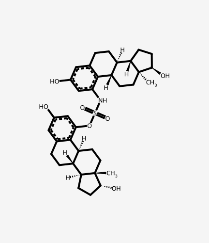 C[C@]12CC[C@@H]3c4c(cc(O)cc4NS(=O)(=O)Oc4cc(O)cc5c4[C@H]4CC[C@]6(C)[C@H](O)CC[C@H]6[C@@H]4CC5)CC[C@H]3[C@@H]1CC[C@H]2O